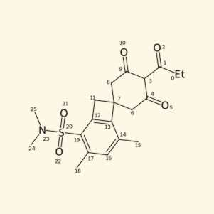 CCC(=O)C1C(=O)CC2(CC1=O)Cc1c2c(C)cc(C)c1S(=O)(=O)N(C)C